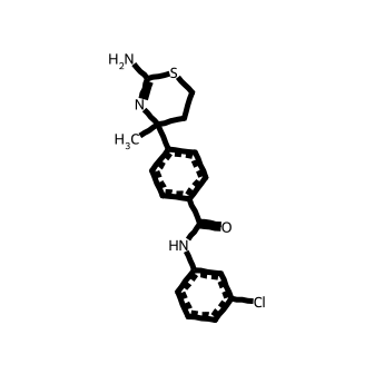 CC1(c2ccc(C(=O)Nc3cccc(Cl)c3)cc2)CCSC(N)=N1